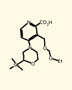 CCOCOCc1c(N2CCOC([Si](C)(C)C)C2)ccnc1C(=O)O